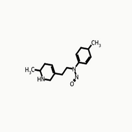 CC1C=CC(N(CCC2=CCC(C)NC2)N=O)=CC1